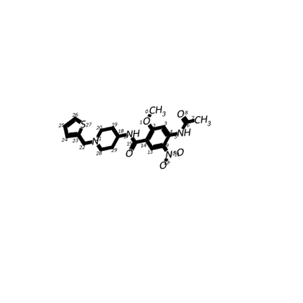 COc1cc(NC(C)=O)c([N+](=O)[O-])cc1C(=O)NC1CCN(Cc2cccs2)CC1